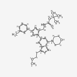 COCCn1cnc2c(N3CCOCC3)cc(-n3nc(-c4cccc(C)c4)nc3CNC(=O)OC(C)(C)C)nc21